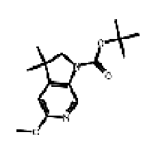 COc1cc2c(cn1)N(C(=O)OC(C)(C)C)CC2(C)C